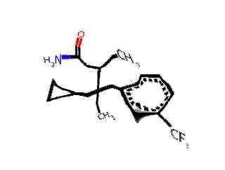 CC(C(N)=O)C(C)(c1cccc(C(F)(F)F)c1)C1CC1